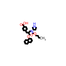 CCCCOC(=O)N(C/C(=C\c1ccc(C(=O)O)cc1)COc1cccc2ccccc12)C1CCNC1